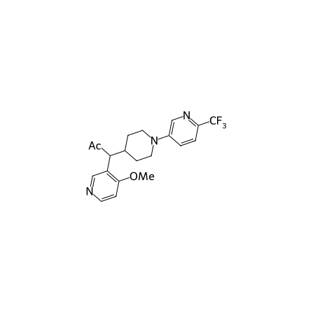 COc1ccncc1C(C(C)=O)C1CCN(c2ccc(C(F)(F)F)nc2)CC1